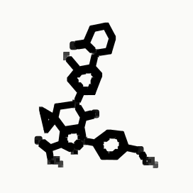 COc1ccc(-n2nc(C(N)=O)c3c2C(=O)N(c2ccc(N4CCCCC4=O)c(F)c2)CC32CC2)cc1